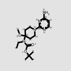 CCN(C(=O)OC(C)(C)C)C1(OC)CCN(c2nccc(N)n2)CC1